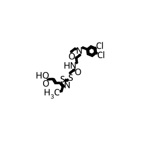 CCc1nc(SCC(=O)NCC2CN(Cc3ccc(Cl)c(Cl)c3)CCO2)sc1C=CC(=O)O